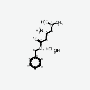 CN(C)C[C@@H](N)CC(=O)OCc1ccccc1.Cl.Cl